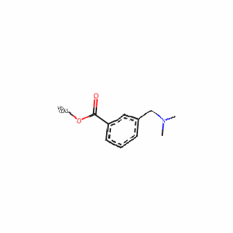 CN(C)Cc1cccc(C(=O)OC(C)(C)C)c1